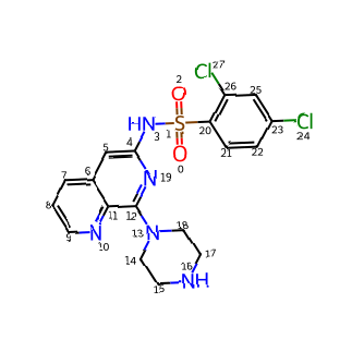 O=S(=O)(Nc1cc2cccnc2c(N2CCNCC2)n1)c1ccc(Cl)cc1Cl